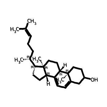 CC(C)=CCC[C@@H](C)[C@H]1CC[C@H]2C3=CC=C4CC(O)CC[C@]4(C)[C@H]3CC[C@]12C